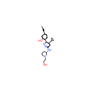 CC#Cc1ccc(-c2nnc(N[C@@H]3CCCN(CCO)C3)cc2C2CC2)c(O)c1